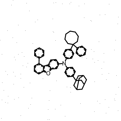 c1ccc(-c2cccc3oc4cc(N(c5ccc(C67CC8CC(CC(C8)C6)C7)cc5)c5ccc(C6(c7ccccc7)CCCCCCC6)cc5)ccc4c23)cc1